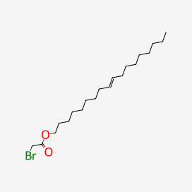 CCCCCCCCC=CCCCCCCCCOC(=O)CBr